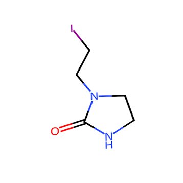 O=C1NCCN1CCI